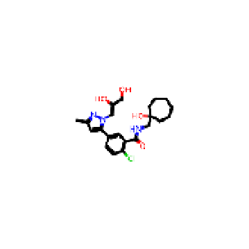 Cc1cc(-c2ccc(Cl)c(C(=O)NCC3(O)CCCCCC3)c2)n(CC(O)CO)n1